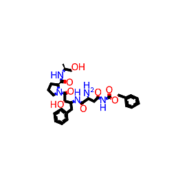 C[C@@H](CO)NC(=O)[C@@H]1CCCN1C(=O)C(O)C(Cc1ccccc1)NC(=O)[C@@H](N)CC(=O)NC(=O)OCc1ccccc1